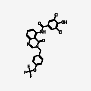 O=C(Nc1cccc2ncn(Cc3ccc(OC(F)(F)F)cc3)c(=O)c12)c1cc(Cl)c(O)c(Cl)c1